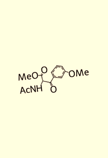 COC(=O)C(NC(C)=O)C(=O)c1cccc(OC)c1